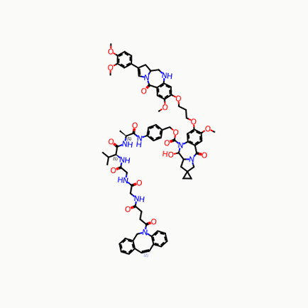 COc1ccc(C2=CN3C(=O)c4cc(OC)c(OCCCOc5cc6c(cc5OC)C(=O)N5CC7(CC7)CC5C(O)N6C(=O)OCc5ccc(NC(=O)[C@H](C)NC(=O)[C@@H](NC(=O)CNC(=O)CNC(=O)CCC(=O)N6Cc7ccccc7/C=C\c7ccccc76)C(C)C)cc5)cc4NCC3C2)cc1OC